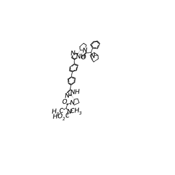 C[C@@H](C(=O)N1CCC[C@H]1c1ncc(-c2ccc(-c3ccc(-c4cnc([C@@H]5CCCN5C(=O)C(c5ccccc5)N5C6CCC5CC6)[nH]4)cc3)cc2)[nH]1)N(C)C(=O)O